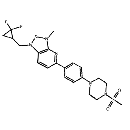 CN1SN(CC2CC2(F)F)c2ccc(-c3ccc(N4CCN(S(C)(=O)=O)CC4)cc3)nc21